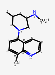 CC1CC(NC(=O)O)CN(c2ccc(C#N)c3ncccc23)C1